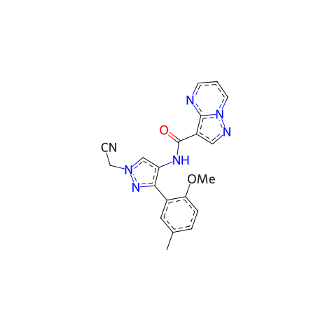 COc1ccc(C)cc1-c1nn(CC#N)cc1NC(=O)c1cnn2cccnc12